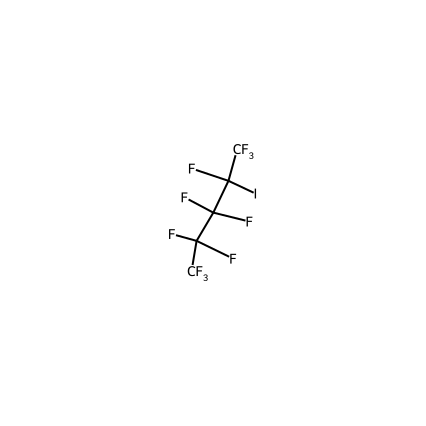 FC(F)(F)C(F)(F)C(F)(F)C(F)(I)C(F)(F)F